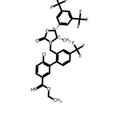 CCOC(=N)c1ccc(Cl)c(-c2ccc(C(F)(F)F)cc2CN2C(=O)O[C@H](c3cc(C(F)(F)F)cc(C(F)(F)F)c3)[C@@H]2C)c1